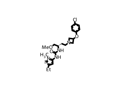 CCc1cc(NC(=O)N[C@@H](CCN2CC(Oc3ccc(Cl)cc3)C2)COC)n(C)n1